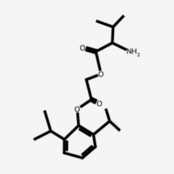 CC(C)c1cccc(C(C)C)c1OC(=O)COC(=O)C(N)C(C)C